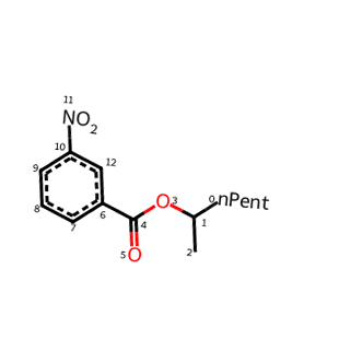 CCCCCC(C)OC(=O)c1cccc([N+](=O)[O-])c1